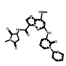 CNc1cc(Nc2cccn(-c3ccccn3)c2=O)nn2c(C(=O)NC3CC(=O)N(C)C3=O)cnc12